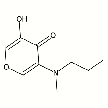 CCCN(C)c1cocc(O)c1=O